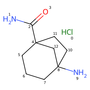 Cl.NC(=O)C12CCCC(N)(CC1)C2